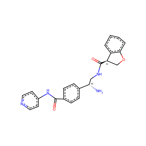 N[C@@H](CNC(=O)[C@@H]1COc2ccccc21)c1ccc(C(=O)Nc2ccncc2)cc1